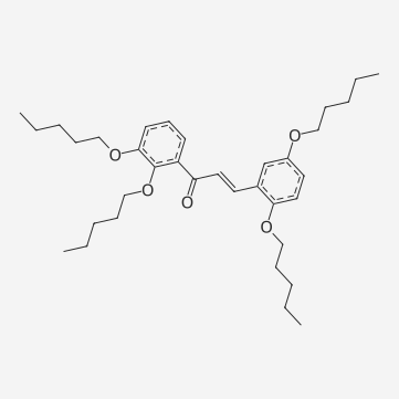 CCCCCOc1ccc(OCCCCC)c(C=CC(=O)c2cccc(OCCCCC)c2OCCCCC)c1